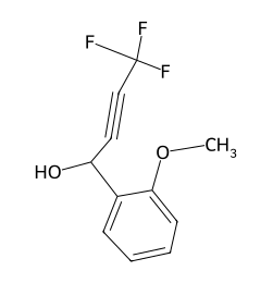 COc1ccccc1C(O)C#CC(F)(F)F